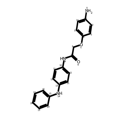 Nc1ccc(OCC(=O)Nc2ccc(Nc3ccccc3)cc2)cc1